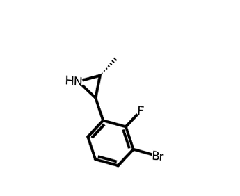 C[C@H]1NC1c1cccc(Br)c1F